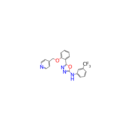 FC(F)(F)c1cccc(Nc2nnc(-c3ccccc3OCc3ccncc3)o2)c1